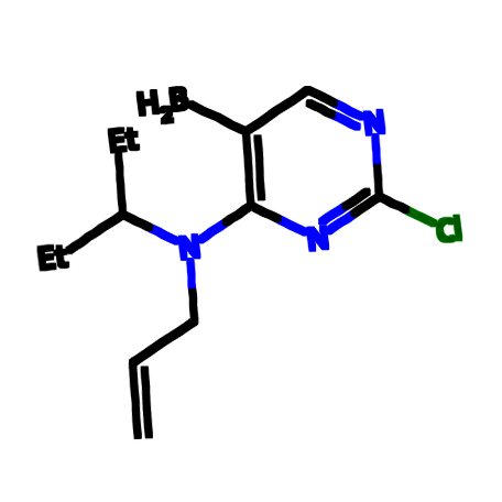 Bc1cnc(Cl)nc1N(CC=C)C(CC)CC